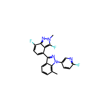 Cc1cccc2c(-c3ccc(F)c4nn(C)c(F)c34)nn(-c3ccc(F)nc3)c12